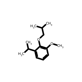 COc1cccc(C(C)C)c1OCC(C)C